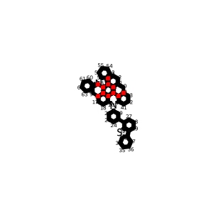 C1=c2cccc(C3CCCCC3)c2=C(c2ccccc2N(c2cccc(-c3cccc4c3sc3ccccc34)c2)c2ccccc2-c2ccc3c(c2)c2ccccc2n3-c2ccccc2)CC1